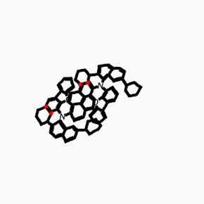 c1ccc2c(c1)oc1c(N(c3c(C4CCCCC4)ccc4ccc(C5CCCCC5)cc34)c3ccc4ccc5c(N(c6c(C7CCCCC7)ccc7ccc(C8CCCCC8)cc67)c6cccc7c6oc6ccccc67)ccc6ccc3c4c65)cccc12